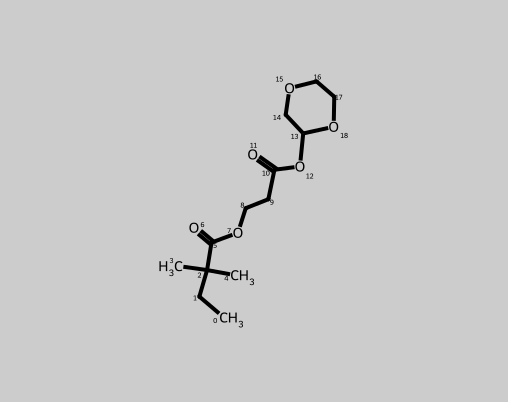 CCC(C)(C)C(=O)OCCC(=O)OC1COCCO1